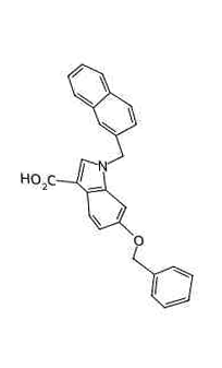 O=C(O)c1cn(Cc2ccc3ccccc3c2)c2cc(OCc3ccccc3)ccc12